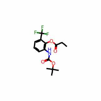 CCC(=O)Oc1c(NC(=O)OC(C)(C)C)cccc1C(F)(F)F